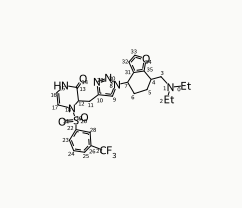 CCN(CC)CC1CCC(n2cc(CC3C(=O)NC=CN3S(=O)(=O)c3cccc(C(F)(F)F)c3)nn2)c2ccoc21